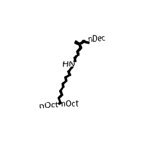 C=C(CCCCCCCCCCCC)CCCCCNCCCCCCCCCCC(CCCCCCCC)CCCCCCCC